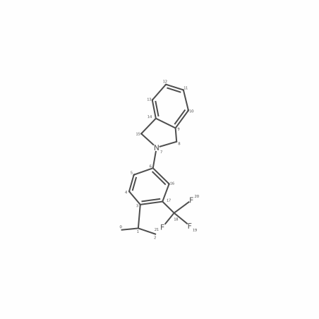 CC(C)c1ccc(N2Cc3ccccc3C2)cc1C(F)(F)F